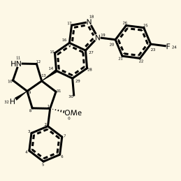 CO[C@]1(c2ccccc2)C[C@@H]2CNC[C@]2(c2cc3cnn(-c4ccc(F)cc4)c3cc2C)C1